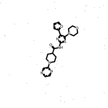 O=C(Nc1nc(-c2ccco2)c(N2CCOCC2)s1)C1CCN(c2cnccn2)CC1